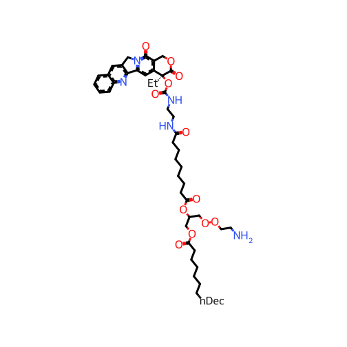 CCCCCCCCCCCCCCCCC(=O)OCC(COOCCN)OC(=O)CCCCCCCC(=O)NCCNC(=O)O[C@]1(CC)C(=O)OCc2c1cc1n(c2=O)Cc2cc3ccccc3nc2-1